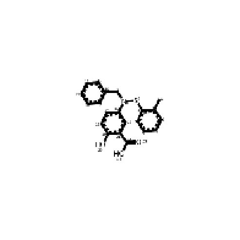 Cc1ccccc1SN(Cc1ccccc1)c1ccc(O)c(C(=O)O)c1